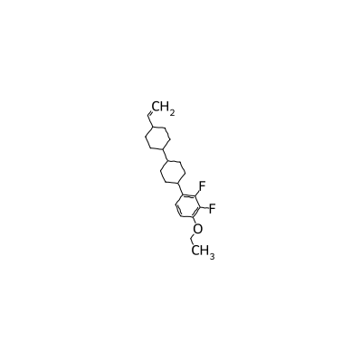 C=CC1CCC(C2CCC(c3ccc(OCC)c(F)c3F)CC2)CC1